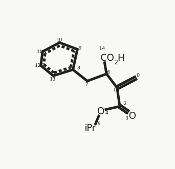 C=C(C(=O)OC(C)C)C(Cc1ccccc1)C(=O)O